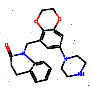 O=C1CCc2ccccc2N1Cc1cc(N2CCNCC2)cc2c1OCCO2